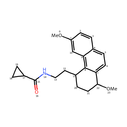 COc1ccc2ccc3c(c2c1)C(CCNC(=O)C1CC1)CCC3OC